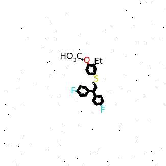 CCc1cc(SCC=C(c2ccc(F)cc2)c2ccc(F)cc2)ccc1OCC(=O)O